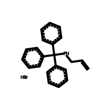 Br.C=CCPC(c1ccccc1)(c1ccccc1)c1ccccc1